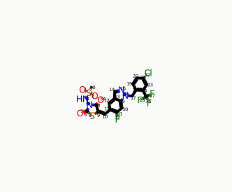 CS(=O)(=O)NN1C(=O)SC(=Cc2cc3cnn(Cc4ccc(Cl)cc4C(F)(F)F)c3cc2F)C1=O